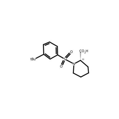 CC(C)(C)c1cccc(S(=O)(=O)N2CCCC[C@H]2C(=O)O)c1